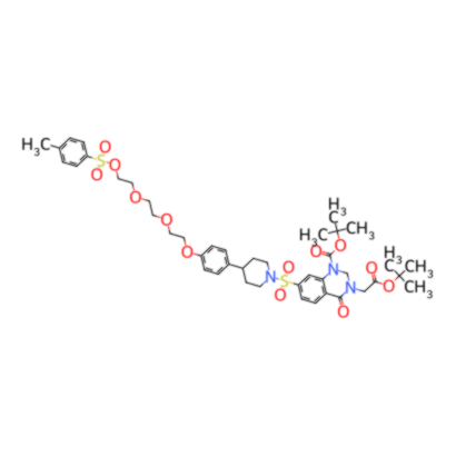 Cc1ccc(S(=O)(=O)OCCOCCOCCOc2ccc(C3CCN(S(=O)(=O)c4ccc5c(c4)N(C(=O)OC(C)(C)C)CN(CC(=O)OC(C)(C)C)C5=O)CC3)cc2)cc1